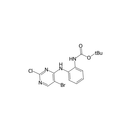 CC(C)(C)OC(=O)Nc1ccccc1Nc1nc(Cl)ncc1Br